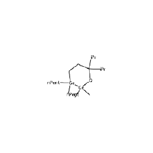 CCCC[CH2][Ge]1([CH2]CCCC)[CH2]CC(C(C)C)(C(C)C)[O][Ge]1([CH3])[CH3]